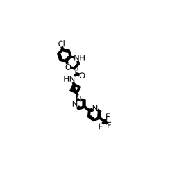 O=C(NC12CC(n3cc(-c4ccc(C(F)(F)F)cn4)cn3)(C1)C2)[C@H]1CNc2cc(Cl)ccc2O1